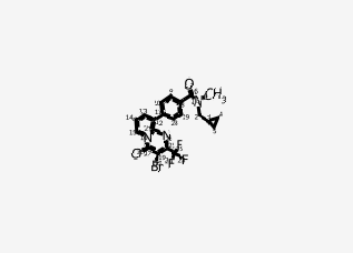 CN(CC1CC1)C(=O)c1ccc(-c2cccn3c(=O)c(Br)c(C(F)(F)F)nc23)cc1